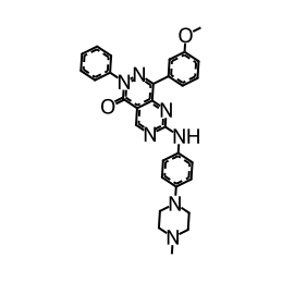 COc1cccc(-c2nn(-c3ccccc3)c(=O)c3cnc(Nc4ccc(N5CCN(C)CC5)cc4)nc23)c1